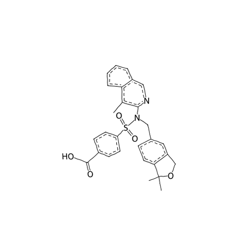 Cc1c(N(Cc2ccc3c(c2)COC3(C)C)S(=O)(=O)c2ccc(C(=O)O)cc2)ncc2ccccc12